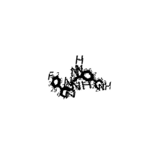 Fc1ccc(-c2ccnc3[nH]c(-c4n[nH]c5ccc(C6CCNCC6)cc45)nc23)cc1